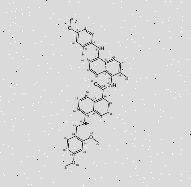 COc1ccc(Nc2nccc3c(NC(=O)c4cccc5c(NCc6ccc(OC)cc6OC)ncnc45)c(C)ccc23)c(F)c1